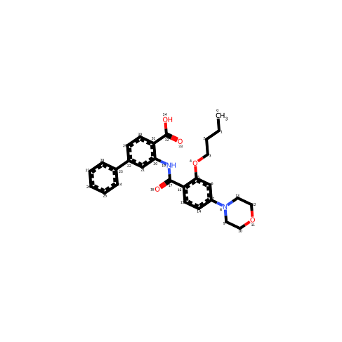 CCCCOc1cc(N2CCOCC2)ccc1C(=O)Nc1cc(-c2ccccc2)ccc1C(=O)O